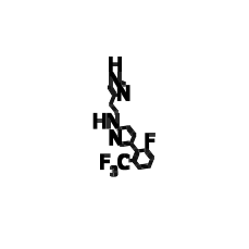 Fc1cccc(C(F)(F)F)c1-c1ccc(NCCc2c[nH]cn2)nc1